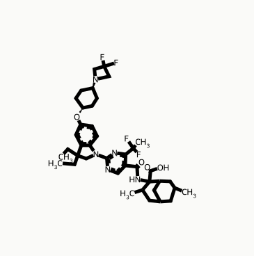 CCC1(CC)CN(c2ncc(C(=O)NC3(C(=O)O)C(C)CC4CC(C)CC3C4)c(C(C)(F)F)n2)c2ccc(O[C@H]3CC[C@H](N4CC(F)(F)C4)CC3)cc21